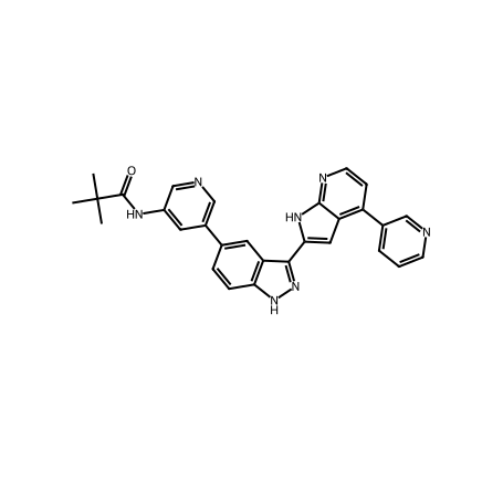 CC(C)(C)C(=O)Nc1cncc(-c2ccc3[nH]nc(-c4cc5c(-c6cccnc6)ccnc5[nH]4)c3c2)c1